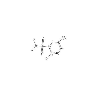 CN(C)S(=O)(=O)c1cc(C(F)(F)F)ccc1Br